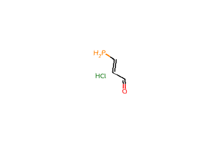 Cl.O=CC=CP